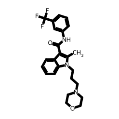 Cc1c(C(=O)Nc2cccc(C(F)(F)F)c2)c2ccccc2n1CCCN1CCOCC1